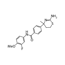 COc1ccc(NC(=O)c2ccc(C3(C)CCSC(N)=N3)cc2)cc1F